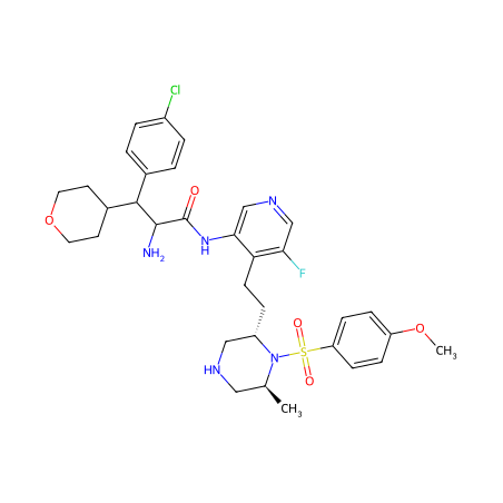 COc1ccc(S(=O)(=O)N2[C@@H](CCc3c(F)cncc3NC(=O)C(N)C(c3ccc(Cl)cc3)C3CCOCC3)CNC[C@@H]2C)cc1